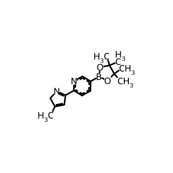 CC1=CC(c2ccc(B3OC(C)(C)C(C)(C)O3)cn2)=NC1